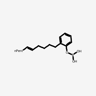 CCCCCC=CCCCCc1ccccc1OB(O)O